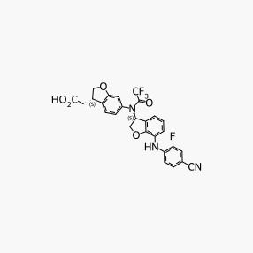 N#Cc1ccc(Nc2cccc3c2OC[C@H]3N(C(=O)C(F)(F)F)c2ccc3c(c2)OC[C@H]3CC(=O)O)c(F)c1